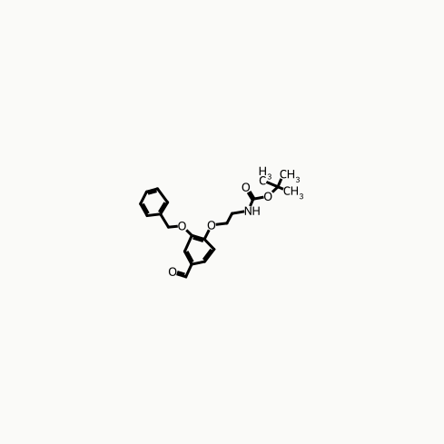 CC(C)(C)OC(=O)NCCOc1ccc(C=O)cc1OCc1ccccc1